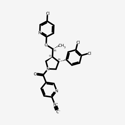 [C-]#[N+]c1ccc(C(=O)N2C[C@@H]([C@@H](C)Oc3ccc(Cl)cn3)[C@H](c3ccc(Cl)c(Cl)c3)C2)cn1